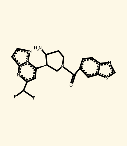 NC1CCN(C(=O)c2ccc3ncsc3c2)C[C@H]1c1cc(C(F)F)nc2ccnn12